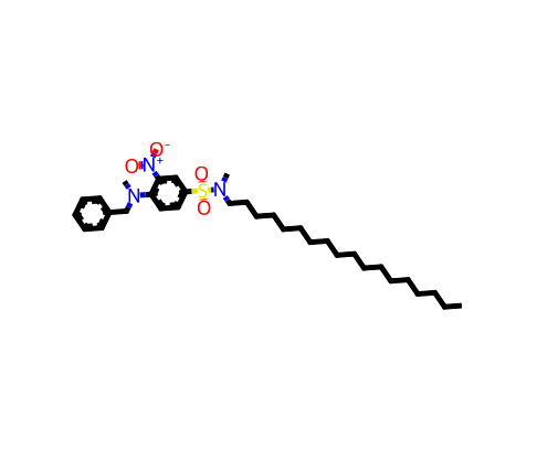 CCCCCCCCCCCCCCCCCCN(C)S(=O)(=O)c1ccc(N(C)Cc2ccccc2)c([N+](=O)[O-])c1